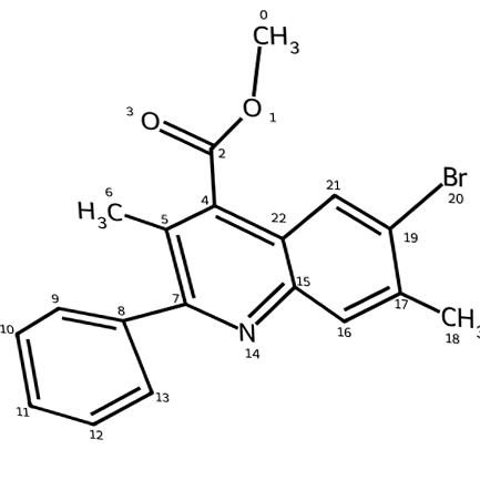 COC(=O)c1c(C)c(-c2ccccc2)nc2cc(C)c(Br)cc12